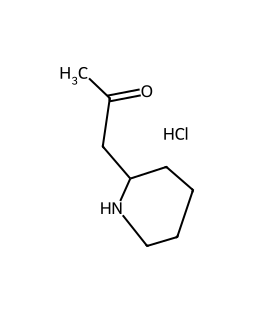 CC(=O)CC1CCCCN1.Cl